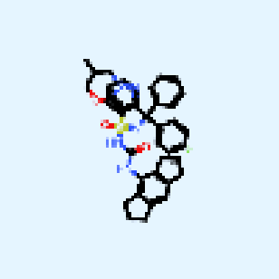 CC1COc2c(S(=O)(=NC(c3ccccc3)(c3ccccc3)c3ccccc3)NC(=O)Nc3c4c(cc5c3C[C@H](F)C5)CCC4)cnn2C1